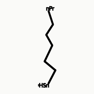 CCCCCCC[CH2][SnH]